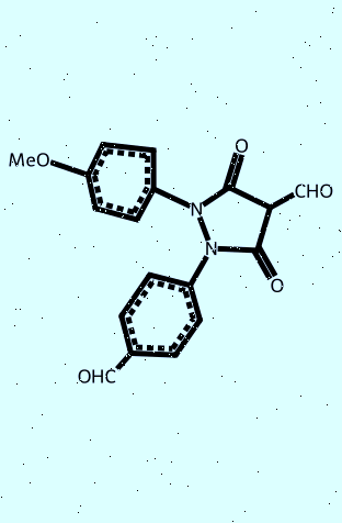 COc1ccc(N2C(=O)C(C=O)C(=O)N2c2ccc(C=O)cc2)cc1